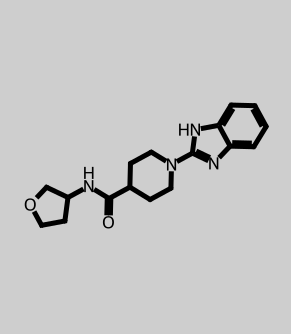 O=C(NC1CCOC1)C1CCN(c2nc3ccccc3[nH]2)CC1